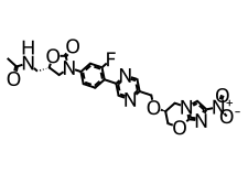 CC(=O)NC[C@H]1CN(c2ccc(-c3cnc(CO[C@@H]4COc5nc([N+](=O)[O-])cn5C4)cn3)c(F)c2)C(=O)O1